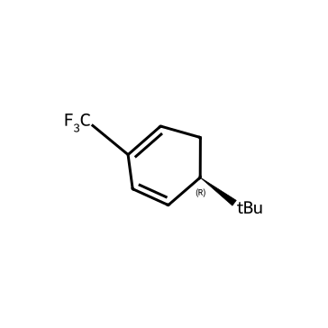 CC(C)(C)[C@H]1C=CC(C(F)(F)F)=CC1